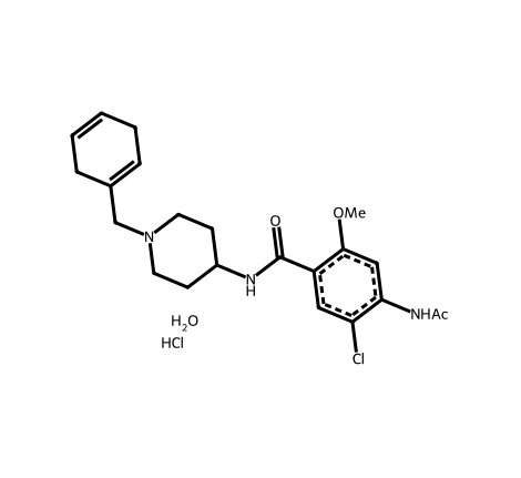 COc1cc(NC(C)=O)c(Cl)cc1C(=O)NC1CCN(CC2=CCC=CC2)CC1.Cl.O